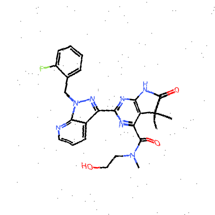 CN(CCO)C(=O)c1nc(-c2nn(Cc3ccccc3F)c3ncccc23)nc2c1C(C)(C)C(=O)N2